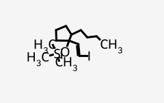 CCCCC1CCCC1(C=CI)O[Si](C)(C)C